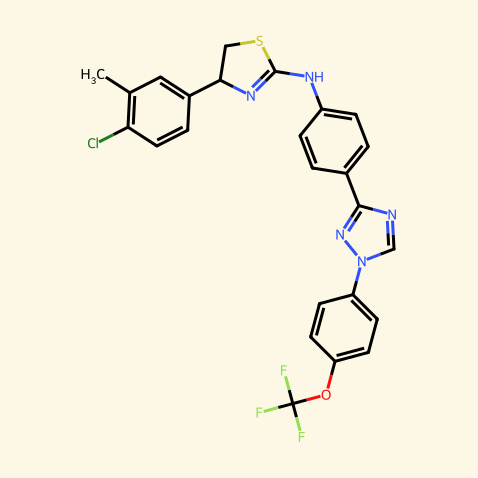 Cc1cc(C2CSC(Nc3ccc(-c4ncn(-c5ccc(OC(F)(F)F)cc5)n4)cc3)=N2)ccc1Cl